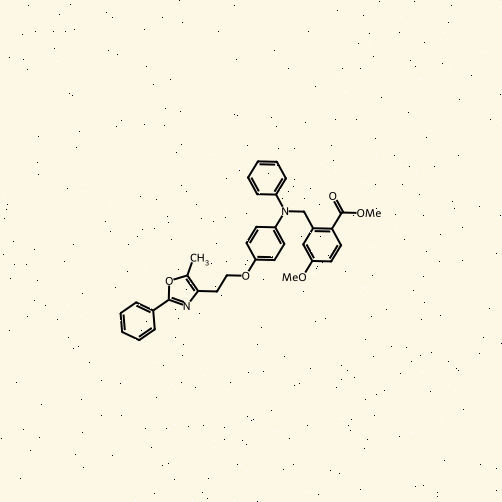 COC(=O)c1ccc(OC)cc1CN(c1ccccc1)c1ccc(OCCc2nc(-c3ccccc3)oc2C)cc1